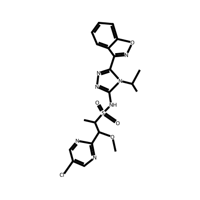 COC(c1ncc(Cl)cn1)C(C)S(=O)(=O)Nc1nnc(-c2noc3ccccc23)n1C(C)C